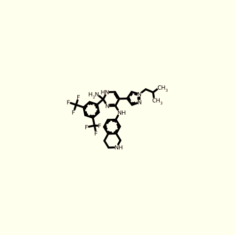 CC(C)Cn1cc(C2=CNC(N)(c3cc(C(F)(F)F)cc(C(F)(F)F)c3)N=C2Nc2ccc3c(c2)CNCC3)cn1